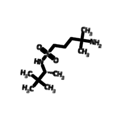 C[C@@H](NS(=O)(=O)CCCC(C)(C)N)C(C)(C)C